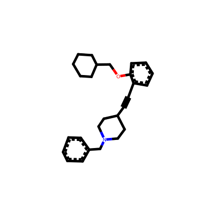 C(#CC1CCN(Cc2ccccc2)CC1)c1ccccc1OCC1CCCCC1